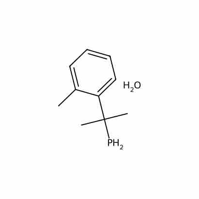 Cc1ccccc1C(C)(C)P.O